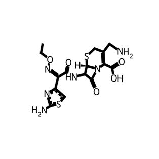 CCO/N=C(\C(=O)NC1C(=O)N2C(C(=O)O)=C(CN)CS[C@@H]12)c1csc(N)n1